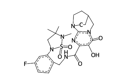 CN1C(C)(C)CN(c2cc(F)ccc2CNC(=O)c2nc3n(c(=O)c2O)CC2CCN3CC2)S1(=O)=O